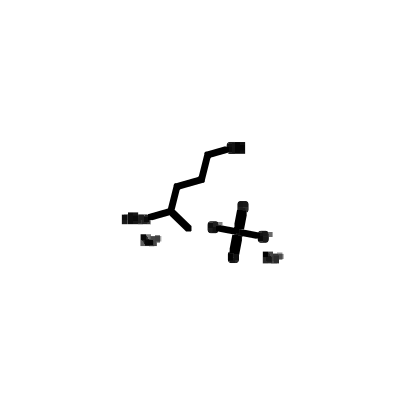 CCCCCCC(C)CCCO.O=S(=O)([O-])[O-].[Na+].[Na+]